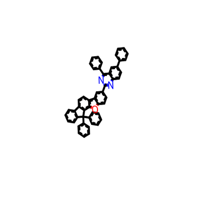 c1ccc(-c2ccc3nc(-c4ccc5oc6c7c(ccc6c5c4)-c4ccccc4C7(c4ccccc4)c4ccccc4)nc(-c4ccccc4)c3c2)cc1